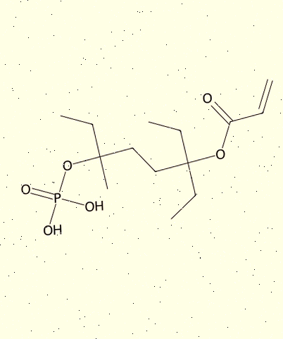 C=CC(=O)OC(CC)(CC)CCC(C)(CC)OP(=O)(O)O